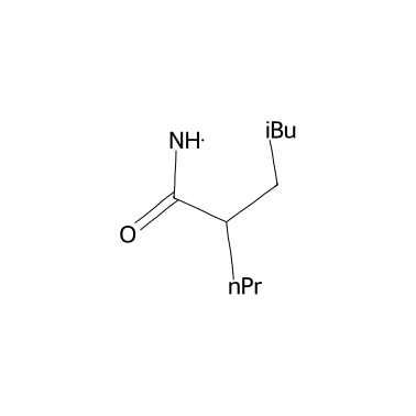 CCCC(CC(C)CC)C([NH])=O